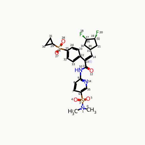 CN(C)S(=O)(=O)c1ccc(NC(=O)/C(=C/[C@H]2C[C@@H](F)[C@@H](F)C2)c2ccc(S(=O)(=O)C3CC3)cc2)nc1